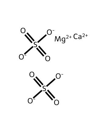 O=S(=O)([O-])[O-].O=S(=O)([O-])[O-].[Ca+2].[Mg+2]